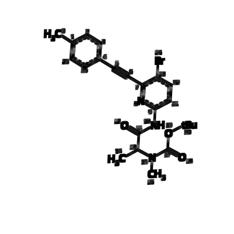 Cc1ccc(C#Cc2nc(NC(=O)C(C)N(C)C(=O)OC(C)(C)C)ccc2Br)cc1